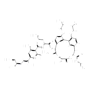 C=C/C(=C\C=C(/C)c1cc(N)c(C(=O)N[C@@H](CCN)C(=O)N(C)[C@@H]2C(=O)N[C@@H](C)C(=O)N[C@H](C(=O)NCC#N)Cc3ccc(OCCN)c(c3)-c3cc2ccc3OCCN)c(C)n1)C(C)(C)C